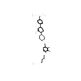 C=CCCCOc1ccc(C(=O)OC2CCC(c3ccc(-c4ccc(C(O)CCC)cc4)c(F)c3F)CC2)c(F)c1F